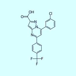 O=C(O)c1cc2nc(-c3ccc(C(F)(F)F)cc3)cc(-c3cccc(Cl)c3)n2n1